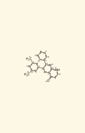 Cc1cc(-c2cc3c(=O)cc[nH]c3nc2-c2cccnc2)cc(C)n1